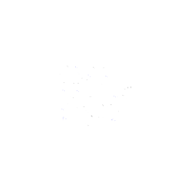 CCCCC(=O)Nc1cncc(-c2ccc3[nH]nc(-c4nc5c(N6CCN(C)CC6)nccc5[nH]4)c3c2F)c1